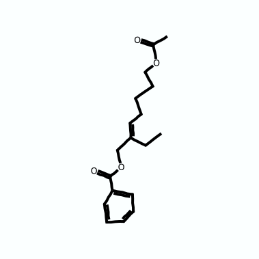 CC/C(=C\CCCCOC(C)=O)COC(=O)c1ccccc1